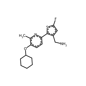 Cc1nc(-c2sc(F)cc2CN)ccc1OC1CCCCC1